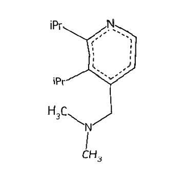 CC(C)c1nccc(CN(C)C)c1C(C)C